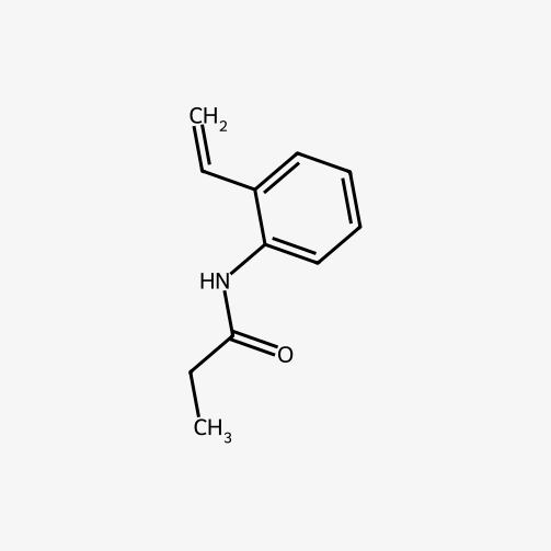 C=Cc1ccccc1NC(=O)CC